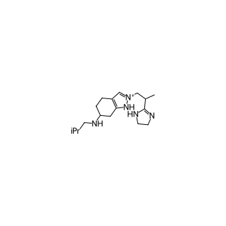 CC(C)CNC1CCc2c[n+](CC(C)C3=NCCN3)[nH]c2C1